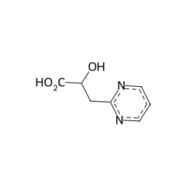 O=C(O)C(O)Cc1ncccn1